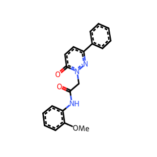 COc1ccccc1NC(=O)Cn1nc(-c2ccccc2)ccc1=O